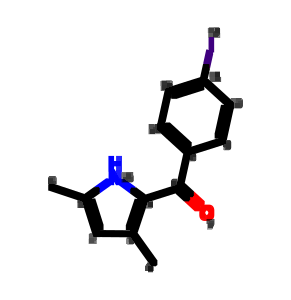 Cc1cc(C)c(C(=O)c2ccc(I)cc2)[nH]1